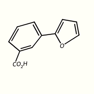 O=C(O)c1cccc(-c2ccco2)c1